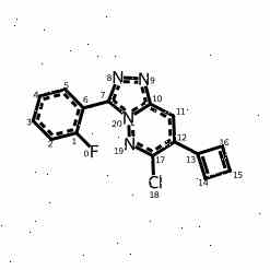 Fc1ccccc1-c1nnc2cc(C3=CC=C3)c(Cl)nn12